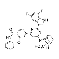 O=C1Nc2ccccc2Oc2cc(-c3cc(/N=C4\C5CCC(CC5)[C@H]4C(=O)O)nc(-c4c[nH]c5c(F)cc(F)cc45)n3)ccc21